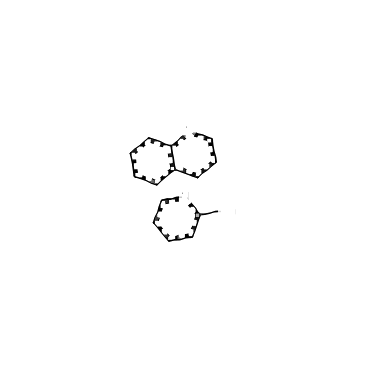 [Cu][c]1ccccn1.c1ccc2ncccc2c1